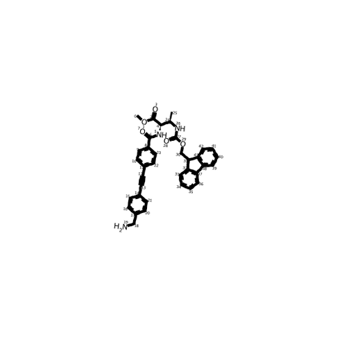 COC(=O)[C@@H](NC(=O)c1ccc(C#Cc2ccc(CN)cc2)cc1)[C@@H](C)NC(=O)OCC1c2ccccc2-c2ccccc21